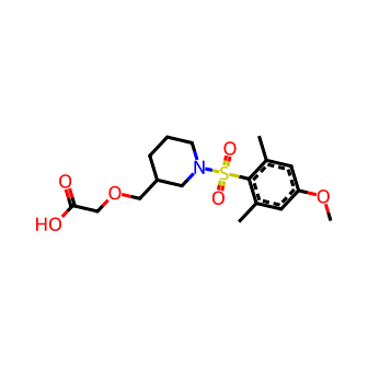 COc1cc(C)c(S(=O)(=O)N2CCCC(COCC(=O)O)C2)c(C)c1